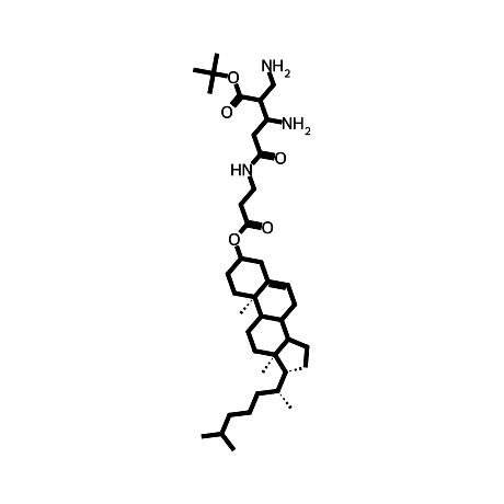 CC(C)CCC[C@@H](C)[C@H]1CCC2C3CC=C4CC(OC(=O)CCNC(=O)CC(N)C(CN)C(=O)OC(C)(C)C)CC[C@]4(C)C3CC[C@@]21C